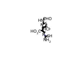 Cl.N/C(S)=N/C=C(C(=O)O)c1csc(NC=O)n1